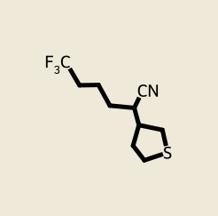 N#CC(CCCC(F)(F)F)C1CCSC1